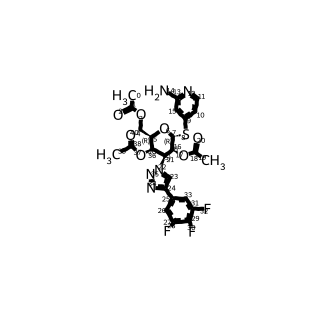 CC(=O)OC[C@H]1O[C@H](Sc2ccnc(N)c2)[C@H](OC(C)=O)[C@@H](n2cc(-c3cc(F)c(F)c(F)c3)nn2)[C@H]1OC(C)=O